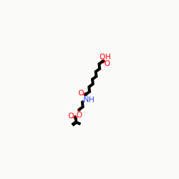 C=C(C)C(=O)OCCCNC(=O)CCCCCCCCC(=O)O